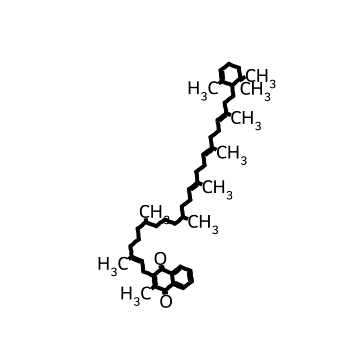 CC1=CCCC(C)(C)C1CC/C(C)=C/CC/C(C)=C/CC/C(C)=C/CCC(C)CCCC(C)CCC/C(C)=C/CC1=C(C)C(=O)c2ccccc2C1=O